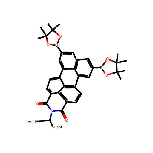 CCCCCCCC(CCCCCCC)N1C(=O)c2ccc3c4cc(B5OC(C)(C)C(C)(C)O5)cc5cc(B6OC(C)(C)C(C)(C)O6)cc(c6ccc(c2c36)C1=O)c54